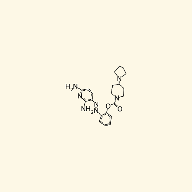 Nc1ccc(/N=N/c2ccccc2OC(=O)N2CCC(N3CCCC3)CC2)c(N)n1